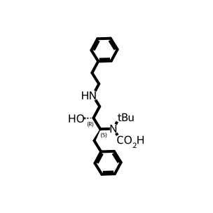 CC(C)(C)N(C(=O)O)[C@@H](Cc1ccccc1)[C@H](O)CNCCc1ccccc1